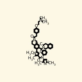 Cc1nn(C)cc1N(C(=O)c1cc(-c2cc3c(cc2C(=O)N2Cc4ccccc4C[C@H]2C)CN(C(=O)Cc2ccc(OCCN(C)C)cc2)CC3)n(C)c1C)c1ccccc1